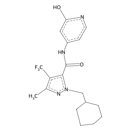 Cc1nn(CC2CCCCC2)c(C(=O)Nc2ccnc(O)c2)c1C(F)(F)F